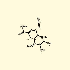 COC(=O)C1=C[C@H](N=[N+]=[N-])[C@@H](NC(C)=O)[C@H]([C@H](OC)[C@@H](COC(C)=O)OC(C)=O)O1